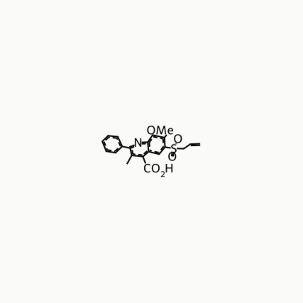 C=CCS(=O)(=O)c1cc2c(C(=O)O)c(C)c(-c3ccccc3)nc2cc1OC